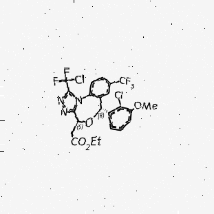 CCOC(=O)C[C@@H]1O[C@@H](c2cccc(OC)c2Cl)c2cc(C(F)(F)F)ccc2-n2c1nnc2C(F)(F)Cl